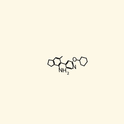 Cc1cc2c(c(N)c1-c1ccnc(OC3CCCCC3)c1)CCC2